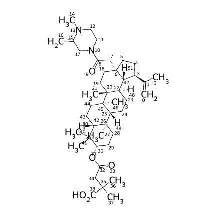 C=C(C)[C@@H]1CC[C@]2(CC(=O)N3CCN(C)C(=C)C3)CC[C@]3(C)[C@H](CC[C@@H]4[C@@]5(C)CC[C@H](OC(=O)CC(C)(C)C(=O)O)C(C)(C)[C@@H]5CC[C@]43C)[C@@H]12